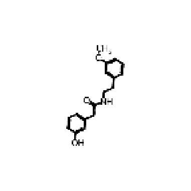 COc1cccc(CCNC(=O)Cc2cccc(O)c2)c1